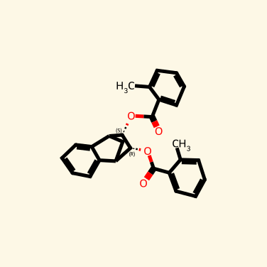 Cc1ccccc1C(=O)O[C@@H]1C2CC(c3ccccc32)[C@@H]1OC(=O)c1ccccc1C